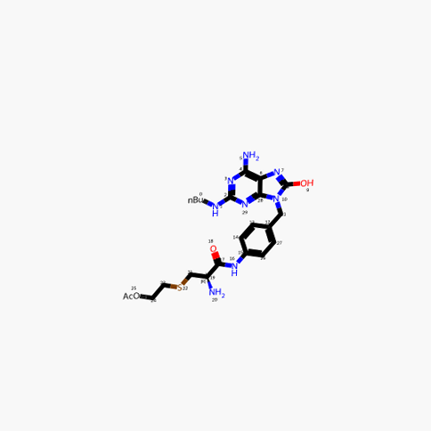 CCCCNc1nc(N)c2nc(O)n(Cc3ccc(NC(=O)[C@@H](N)CSCCOC(C)=O)cc3)c2n1